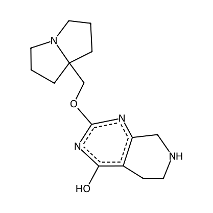 Oc1nc(OCC23CCCN2CCC3)nc2c1CCNC2